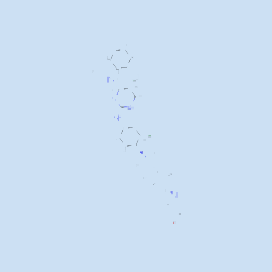 CP(C)c1ccccc1Nc1nc(Nc2ccc(N3CCC4(CC3)CC(NCCO)C4)c(Cl)c2)ncc1Cl